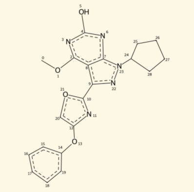 COc1nc(O)nc2c1c(-c1nc(Oc3ccccc3)co1)nn2C1CCCC1